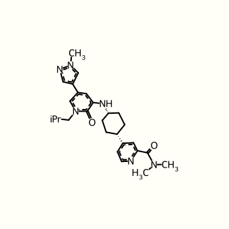 CC(C)Cn1cc(-c2cnn(C)c2)cc(N[C@H]2CC[C@@H](c3ccnc(C(=O)N(C)C)c3)CC2)c1=O